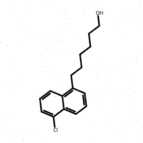 OCCCCCCc1cccc2c(Cl)cccc12